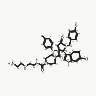 Cc1ccc(S[C@@]2(C(=O)N3CCN(C(=O)NCCOCCN)CC3)CC(=O)N(Cc3ccc(Br)cc3)[C@H]2c2c[nH]c3cc(Cl)ccc23)cc1